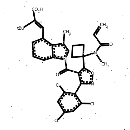 C=CC(=O)N(C)C1(c2onc(-c3c(Cl)cc(Cl)cc3Cl)c2C(=O)n2cc(C)c3c(/C=C(/C(=O)O)C(C)(C)C)cccc32)CCC1